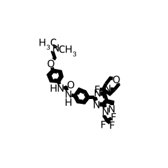 CN(C)CCOc1ccc(NC(=O)Nc2ccc(-c3nc(N4C5COCC4C(F)C5)c4cnn(CC(F)(F)F)c4n3)cc2)cc1